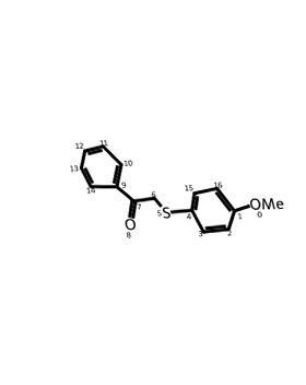 COc1ccc(SCC(=O)c2ccccc2)cc1